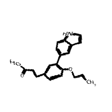 CCCOc1ccc(CCC(=O)O)cc1-c1ccc2[nH]ccc2c1